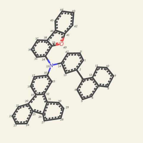 c1cc(-c2cccc3ccccc23)cc(N(c2ccc3c4ccccc4c4ccccc4c3c2)c2cccc3c2oc2ccccc23)c1